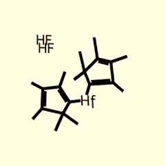 CC1=C(C)C(C)(C)[C]([Hf][C]2=C(C)C(C)=C(C)C2(C)C)=C1C.F.F